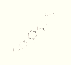 CC(=O)NC[C@H]1CN(c2ccc(N3CC4NC4C3)c(F)c2)C(=O)O1